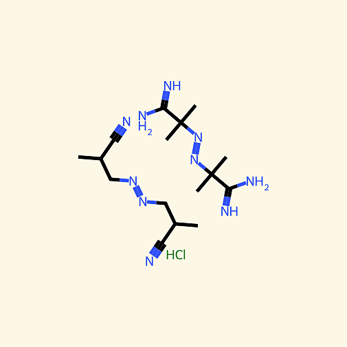 CC(C#N)CN=NCC(C)C#N.CC(C)(N=NC(C)(C)C(=N)N)C(=N)N.Cl